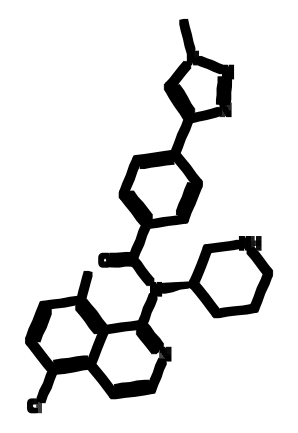 Cc1ccc(Cl)c2ccnc(N(C(=O)c3ccc(-c4cn(C)nn4)cc3)[C@@H]3CCCNC3)c12